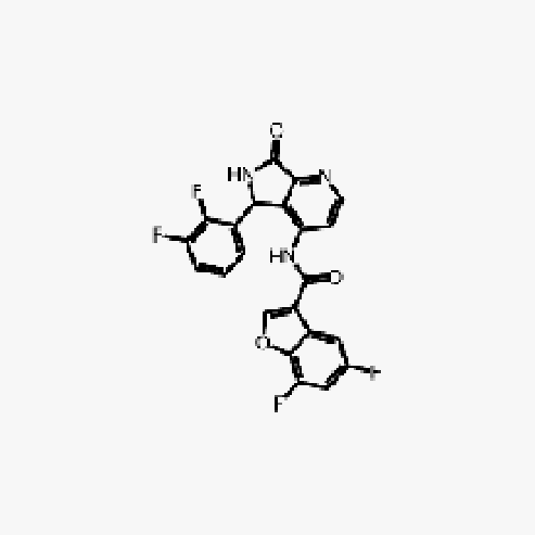 O=C1NC(c2cccc(F)c2F)c2c(NC(=O)c3coc4c(F)cc(F)cc34)ccnc21